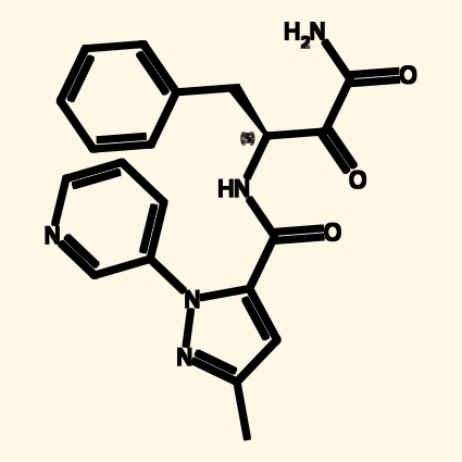 Cc1cc(C(=O)N[C@@H](Cc2ccccc2)C(=O)C(N)=O)n(-c2cccnc2)n1